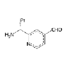 CC(C)[C@@H](N)c1cc(C=O)ccn1